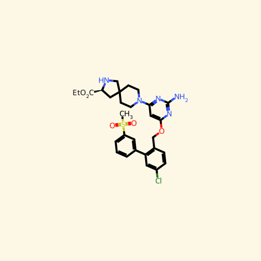 CCOC(=O)[C@@H]1CC2(CCN(c3cc(OCc4ccc(Cl)cc4-c4cccc(S(C)(=O)=O)c4)nc(N)n3)CC2)CN1